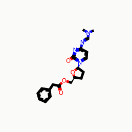 CN(C)C=Nc1ccn([C@H]2CC[C@@H](COC(=O)Cc3ccccc3)O2)c(=O)n1